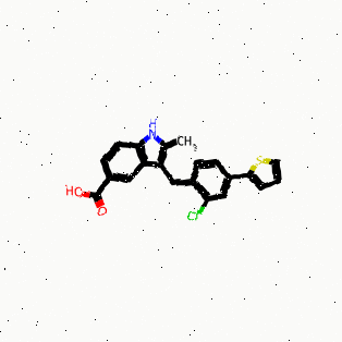 Cc1[nH]c2ccc(C(=O)O)cc2c1Cc1ccc(-c2cccs2)cc1Cl